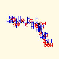 NCC(=O)N[C@@H](CO)C(=O)NCC(=O)NCC(=O)NCC(=O)NCC(=O)NCC(=O)N[C@@H](CO)C(=O)NCC(=O)NCC(=O)NCC(=O)NCC(=O)N[C@@H](CO)C(=O)O